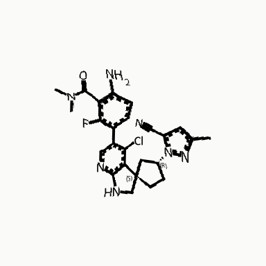 Cc1cc(C#N)n([C@@H]2CC[C@]3(CNc4ncc(-c5ccc(N)c(C(=O)N(C)C)c5F)c(Cl)c43)C2)n1